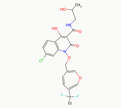 CCC(F)(F)C1=COC=C(COn2c(=O)c(C(=O)NCC(C)O)c(O)c3ccc(Cl)cc32)C=C1